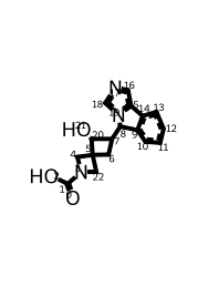 O=C(O)N1CC2(CC(C3c4ccccc4-c4cncn43)C2O)C1